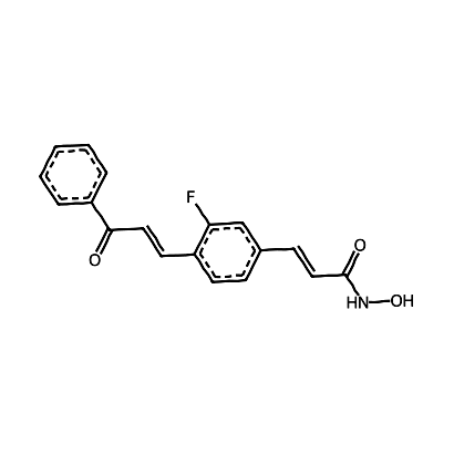 O=C(/C=C/c1ccc(/C=C/C(=O)c2ccccc2)c(F)c1)NO